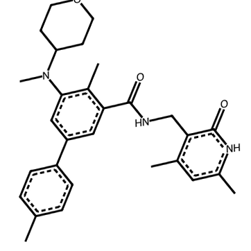 Cc1ccc(-c2cc(C(=O)NCc3c(C)cc(C)[nH]c3=O)c(C)c(N(C)C3CCOCC3)c2)cc1